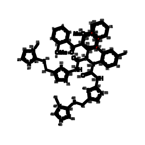 COc1ccccc1C(=O)c1cc(C)ccc1N(C(=O)Nc1ncc(CSc2nccn2C)s1)N(C(=O)Nc1ncc(CSc2nncn2C)s1)c1ccc(C)cc1C(=O)c1ccccc1OC